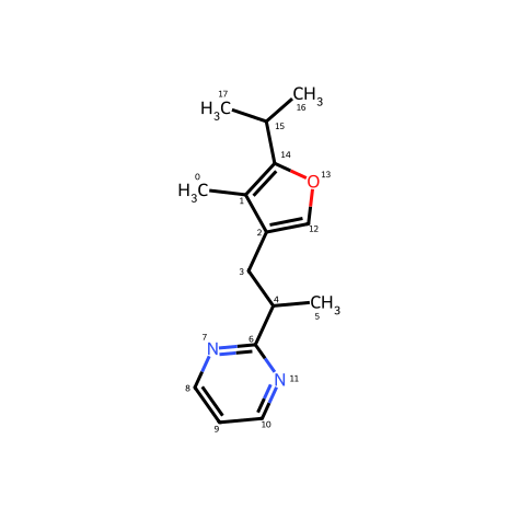 Cc1c(CC(C)c2ncccn2)coc1C(C)C